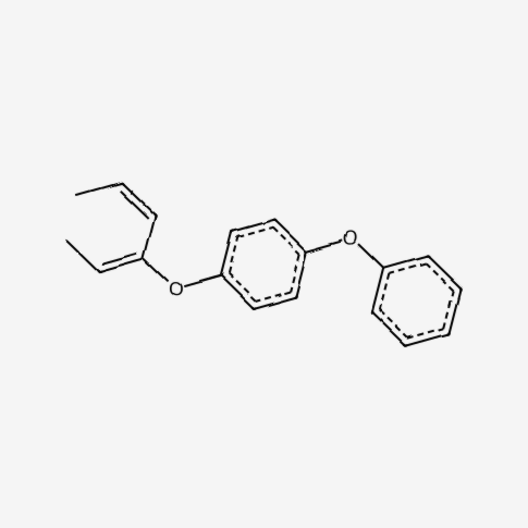 C/C=C\C(=C/C)Oc1ccc(Oc2ccccc2)cc1